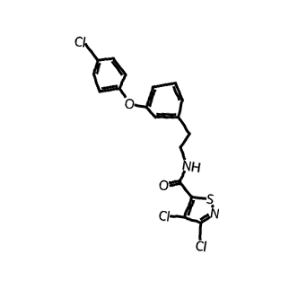 O=C(NCCc1cccc(Oc2ccc(Cl)cc2)c1)c1snc(Cl)c1Cl